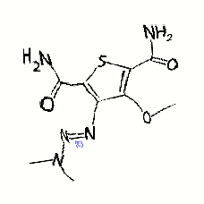 COc1c(C(N)=O)sc(C(N)=O)c1/N=N/N(C)C